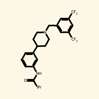 CC(C)C(=O)Nc1cccc(C2CCN(Cc3cc(C(F)(F)F)cc(C(F)(F)F)c3)CC2)c1